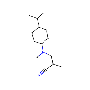 CC(C#N)CN(C)C1CCC(C(C)C)CC1